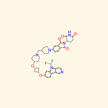 O=C1CCC(N2C(=O)c3ccc(N4CCC(CN5CCC(OC6CC(Oc7ccc8c9cnccc9n(C(F)F)c8c7)C6)CC5)CC4)cc3C2=O)C(=O)N1